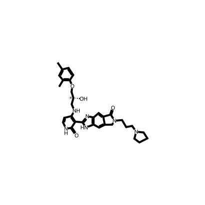 Cc1ccc(OC[C@H](O)CNc2cc[nH]c(=O)c2-c2nc3cc4c(cc3[nH]2)CN(CCCN2CCCC2)C4=O)c(C)c1